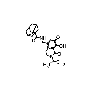 CC(C)N1CCn2c(CNC(=O)C34CC5CC(CC(C5)C3)C4)cc(=O)c(O)c2C1=O